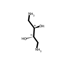 NC[C@@H](O)[C@@H](O)CN